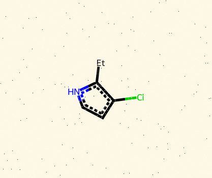 CCc1[nH]ccc1Cl